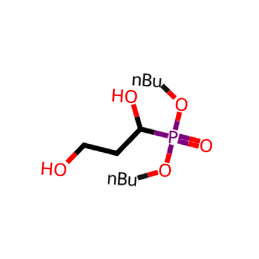 CCCCOP(=O)(OCCCC)C(O)CCO